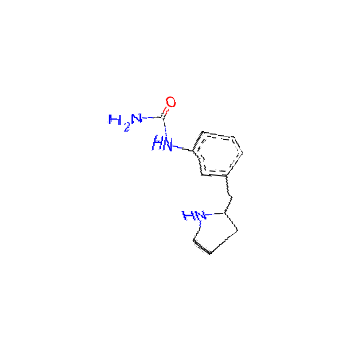 NC(=O)Nc1cccc(CC2CCCN2)c1